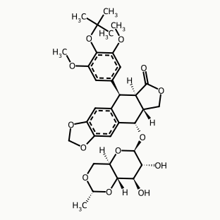 COc1cc([C@@H]2c3cc4c(cc3[C@@H](O[C@@H]3O[C@@H]5CO[C@@H](C)O[C@H]5[C@H](O)[C@H]3O)[C@H]3COC(=O)[C@H]23)OCO4)cc(OC)c1OC(C)(C)C